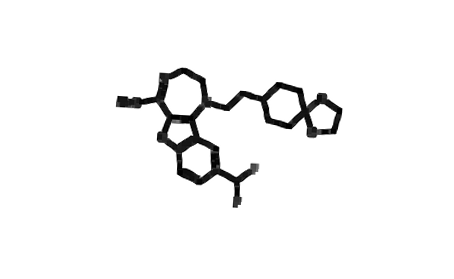 COC1=NCCN(CCC2CCC3(CC2)OCCO3)c2c1oc1ccc(C(F)F)cc21